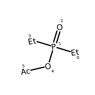 CCP(=O)(CC)OC(C)=O